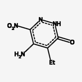 CCc1c(N)c([N+](=O)[O-])n[nH]c1=O